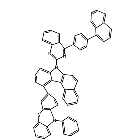 c1ccc(N2c3ccccc3Sc3cc(-c4cccc5c4c4c6ccccc6ccc4n5-c4nc(-c5ccc(-c6cccc7ccccc67)cc5)c5ccccc5n4)ccc32)cc1